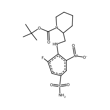 CC(C)(C)OC(=O)N1CCCCC1CNc1c(F)cc(S(N)(=O)=O)cc1[N+](=O)[O-]